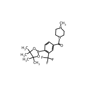 CN1CCN(C(=O)c2ccc(B3OC(C)(C)C(C)(C)O3)c(C(F)(F)F)c2)CC1